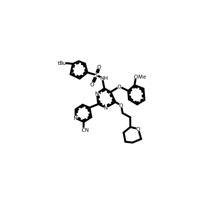 COc1ccccc1Oc1c(NS(=O)(=O)c2ccc(C(C)(C)C)cc2)nc(-c2ccnc(C#N)c2)nc1OCCC1CCCCO1